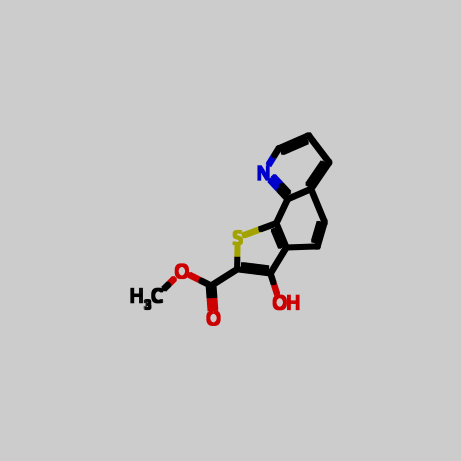 COC(=O)c1sc2c(ccc3cccnc32)c1O